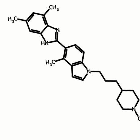 Cc1cc(C)c2nc(-c3ccc4c(ccn4CCCC4CCN(C)CC4)c3C)[nH]c2c1